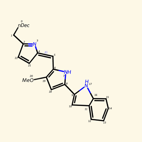 CCCCCCCCCCCC1=N/C(=C/c2[nH]c(-c3cc4ccccc4[nH]3)cc2OC)C=C1